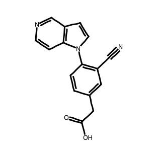 N#Cc1cc(CC(=O)O)ccc1-n1ccc2cnccc21